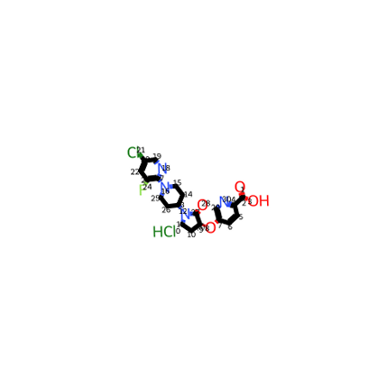 Cl.O=C(O)c1ccc(O[C@H]2CCN(C3CCN(c4ncc(Cl)cc4F)CC3)C2=O)cn1